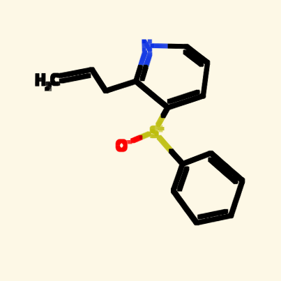 C=CCc1ncccc1[S+]([O-])c1ccccc1